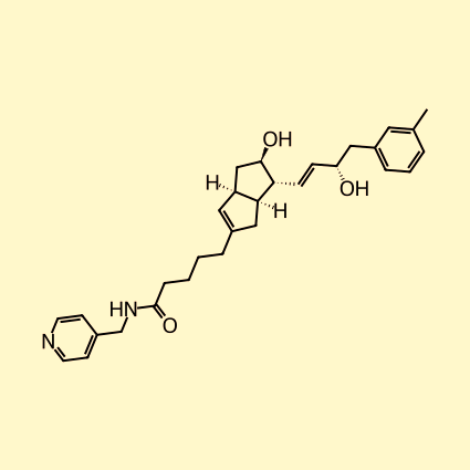 Cc1cccc(C[C@H](O)/C=C/[C@@H]2[C@H]3CC(CCCCC(=O)NCc4ccncc4)=C[C@H]3C[C@H]2O)c1